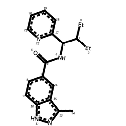 CCC(CC)C(NC(=O)c1ccc2[nH]nc(C)c2c1)c1ccccn1